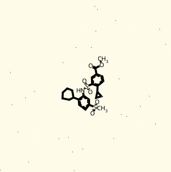 COC(=O)c1ccc(C2CC2)c(S(=O)(=O)Nc2cc(S(C)(=O)=O)ccc2C2CCCCC2)c1